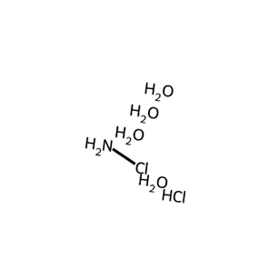 Cl.NCl.O.O.O.O